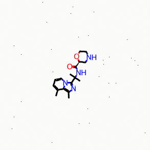 Cc1cccn2c(C(C)(C)NC(=O)[C@@H]3CNCCO3)nc(C)c12